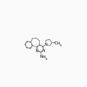 C[C@@H]1CCN(c2nc(N)nc3c2CCCc2ccccc2-3)C1